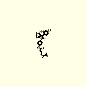 CN(C(=O)C=CCN(C)C1CC1)c1ccc(-n2c(Cl)c(-c3ccc(Cl)cc3)c3c(N)ncnc32)cc1